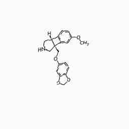 COc1ccc2c(c1)[C@]1(COc3ccc4c(c3)OCO4)CNC[C@H]21